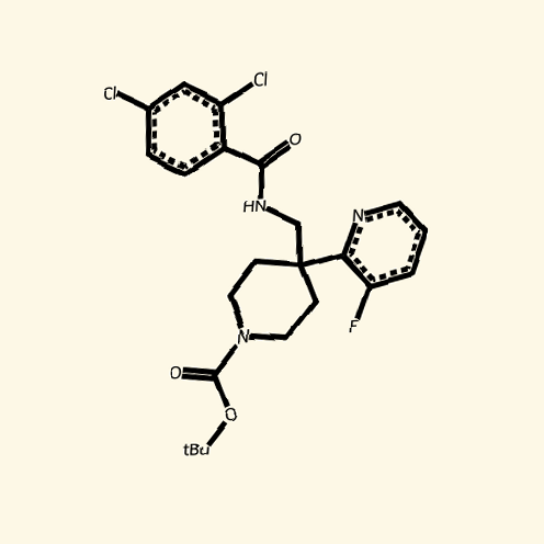 CC(C)(C)OC(=O)N1CCC(CNC(=O)c2ccc(Cl)cc2Cl)(c2ncccc2F)CC1